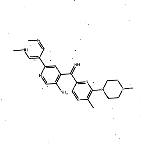 C/N=C\C(=C/NC)c1cc(C(=N)c2ccc(C)c(N3CCN(C)CC3)n2)c(N)cn1